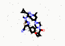 Cc1cc(N2CCN(C(=O)C34CC(C3)C4)CC2)cc2c(N(C)c3nc(-c4ccc(F)cc4)c(C#N)s3)c(C3CC3)nn12